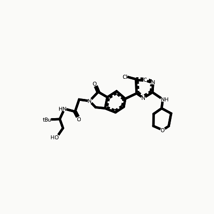 CC(C)(C)C(CO)NC(=O)CN1Cc2ccc(-c3nc(NC4CCOCC4)ncc3Cl)cc2C1=O